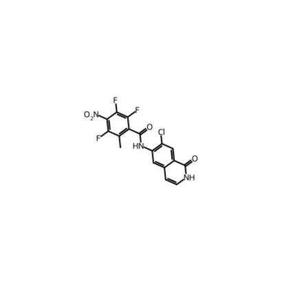 Cc1c(F)c([N+](=O)[O-])c(F)c(F)c1C(=O)Nc1cc2cc[nH]c(=O)c2cc1Cl